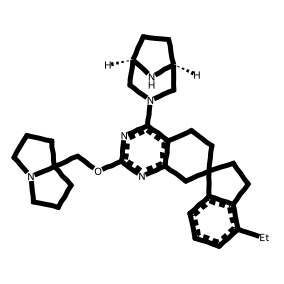 CCc1cccc2c1CCC21CCc2c(nc(OCC34CCCN3CCC4)nc2N2C[C@H]3CC[C@@H](C2)N3)C1